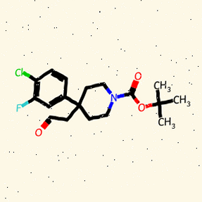 CC(C)(C)OC(=O)N1CCC(CC=O)(c2ccc(Cl)c(F)c2)CC1